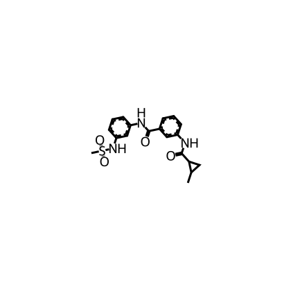 CC1CC1C(=O)Nc1cccc(C(=O)Nc2cccc(NS(C)(=O)=O)c2)c1